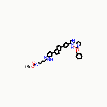 CC(C)(C)OC(=O)NCCCCc1nc2ccc(-c3ccc4cc(-c5ccc(C6CN=C([C@@H]7CCCN7C(=O)OCc7ccccc7)N6)cc5)ccc4c3)cc2[nH]1